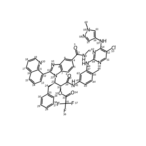 CNC(=O)c1ccc2c(c1)nc(-c1cccc3cccnc13)n2[C@H](Cc1ccccc1)[C@H](OC(=O)C(F)(F)F)C(=O)Nc1ccc(C)c(Nc2ncc(Cl)c(Nc3cnn(C)c3)n2)c1